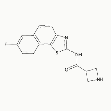 O=C(Nc1nc2ccc3cc(F)ccc3c2s1)C1CNC1